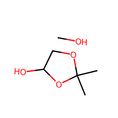 CC1(C)OCC(O)O1.CO